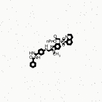 CCCOC(=O)CN(c1ccc2c(c1)nc(CNc1ccc(C(=N)NC(=O)c3ccccc3)cc1)n2C)S(=O)(=O)c1cccc2cccnc12